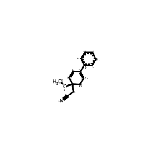 COC1(CC#N)C=CC(c2ccccc2)=CC1